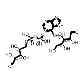 Nc1ncnc2nc[nH]c12.O=C[C@H](O)[C@H](O)[C@H](O)CO.O=C[C@H](O)[C@H](O)[C@H](O)COP(=O)(O)OP(=O)(O)O